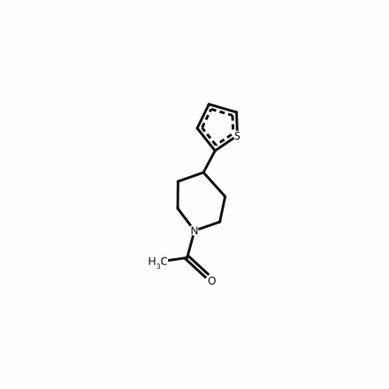 CC(=O)N1CCC(c2cccs2)CC1